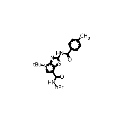 CCCNC(=O)c1cn(C(C)(C)C)c2nc(NC(=O)c3ccc(C)cc3)sc12